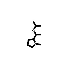 CC(C)OC(C)C1CCCN1C